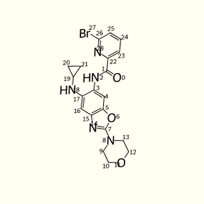 O=C(Nc1cc2oc(N3CCOCC3)nc2cc1NC1CC1)c1cccc(Br)n1